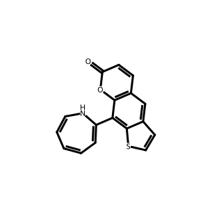 O=c1ccc2cc3ccsc3c(C3=CC=CC=CN3)c2o1